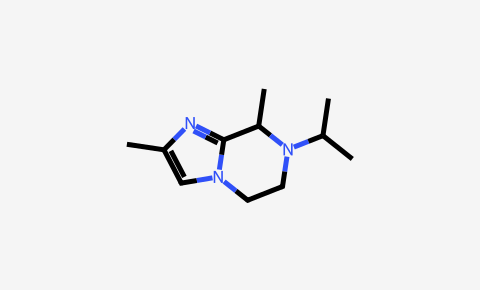 Cc1cn2c(n1)C(C)N(C(C)C)CC2